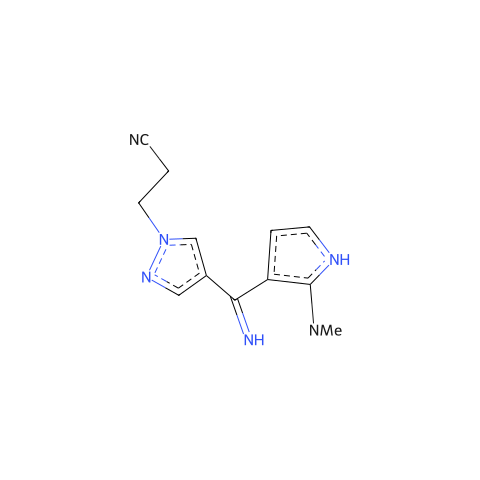 CNc1[nH]ccc1C(=N)c1cnn(CCC#N)c1